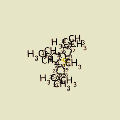 CC(C)(C)c1ccc(S(C)(c2ccc(C(C)(C)C)cc2)c2ccc(C(C)(C)C)cc2)cc1